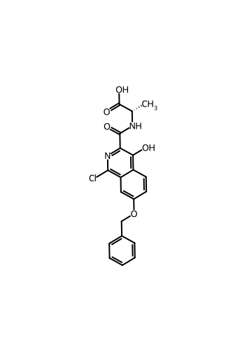 C[C@H](NC(=O)c1nc(Cl)c2cc(OCc3ccccc3)ccc2c1O)C(=O)O